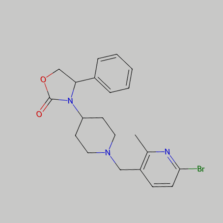 Cc1nc(Br)ccc1CN1CCC(N2C(=O)OCC2c2ccccc2)CC1